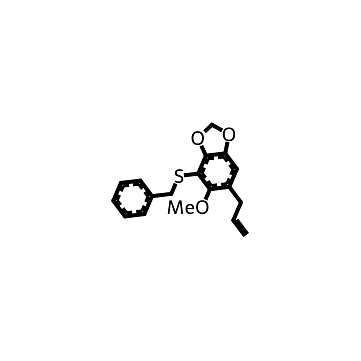 C=CCc1cc2c(c(SCc3ccccc3)c1OC)OCO2